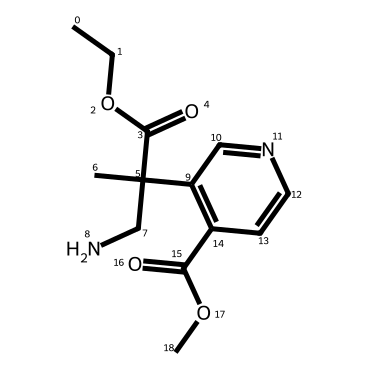 CCOC(=O)C(C)(CN)c1cnccc1C(=O)OC